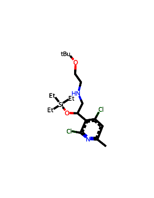 CC[Si](CC)(CC)OC(CNCCOC(C)(C)C)c1c(Cl)cc(C)nc1Cl